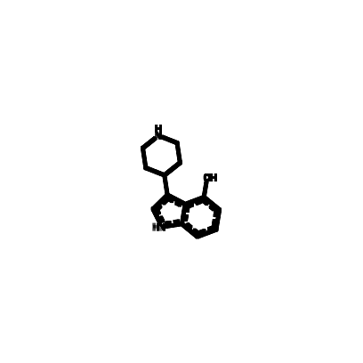 Oc1cccc2[nH]cc(C3CCNCC3)c12